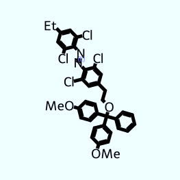 [CH2]Cc1cc(Cl)c(/N=N/c2c(Cl)cc(CCOC(c3ccccc3)(c3ccc(OC)cc3)c3ccc(OC)cc3)cc2Cl)c(Cl)c1